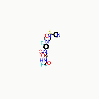 O=C(NC[C@H]1CN(c2ccc(N3CCON(C(=S)c4ccncc4)CC3)c(F)c2)C(=O)O1)C(F)F